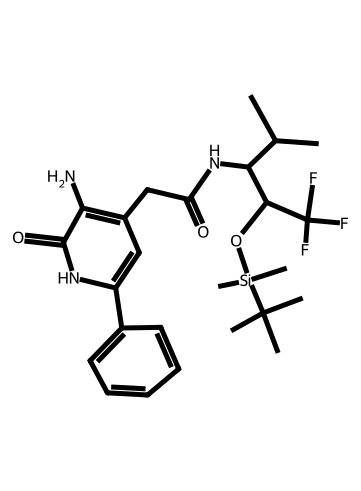 CC(C)C(NC(=O)Cc1cc(-c2ccccc2)[nH]c(=O)c1N)C(O[Si](C)(C)C(C)(C)C)C(F)(F)F